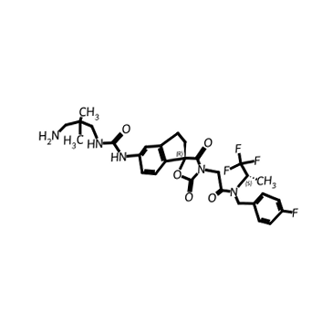 C[C@H](N(Cc1ccc(F)cc1)C(=O)CN1C(=O)O[C@@]2(CCc3cc(NC(=O)NCC(C)(C)CN)ccc32)C1=O)C(F)(F)F